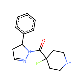 O=C(N1N=CCC1c1ccccc1)C1(F)CCNCC1